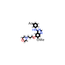 COc1cc2ncnc(Nc3cccc(C(C)=O)c3)c2cc1OCCCN1CCOCC1